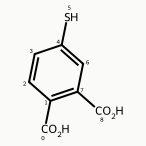 O=C(O)c1ccc(S)cc1C(=O)O